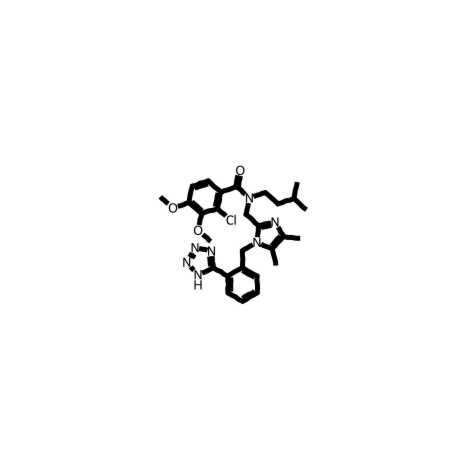 COc1ccc(C(=O)N(CCC(C)C)Cc2nc(C)c(C)n2Cc2ccccc2-c2nnn[nH]2)c(Cl)c1OC